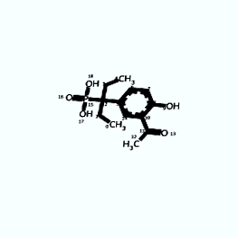 CCC(CC)(c1ccc(O)c(C(C)=O)c1)P(=O)(O)O